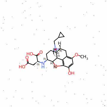 COc1cc(O)c2c3c1C[C@@H]1[C@@H]4CC[C@H](N[C@@H](CC(=O)O)C(=O)O)[C@H](O2)[C@]34CCN1CC1CC1